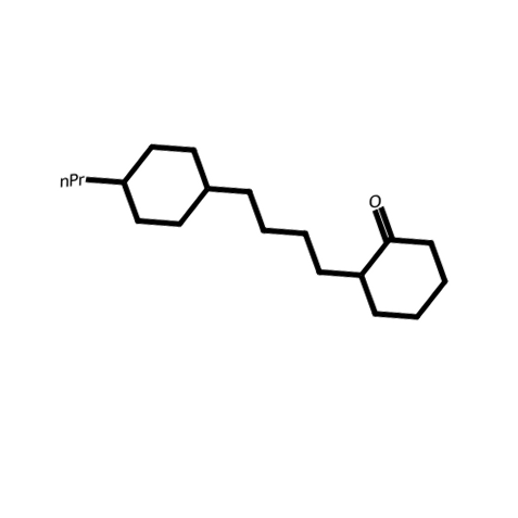 CCCC1CCC(CCCCC2CCCCC2=O)CC1